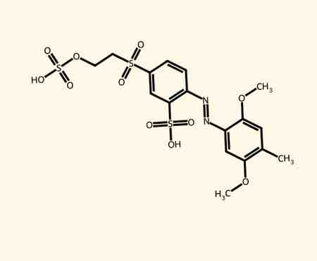 COc1cc(N=Nc2ccc(S(=O)(=O)CCOS(=O)(=O)O)cc2S(=O)(=O)O)c(OC)cc1C